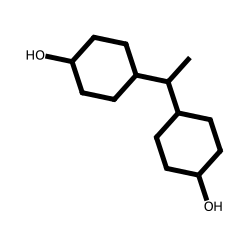 C[C](C1CCC(O)CC1)C1CCC(O)CC1